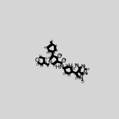 Cc1ccc(-c2cn(CC3CCOCC3)cc(C(=O)Nc3ccc(-c4cn(C)c5ncnc(N)c45)cc3)c2=O)cc1